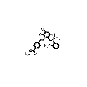 COC(=O)c1ccc(CCn2c(CN(C)c3ccccc3C)c(Cl)cc(Cl)c2=O)cc1